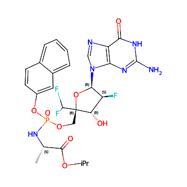 CC(C)OC(=O)[C@H](C)NP(=O)(OC[C@@]1(C(F)F)O[C@@H](n2cnc3c(=O)[nH]c(N)nc32)[C@@H](F)[C@@H]1O)Oc1ccc2ccccc2c1